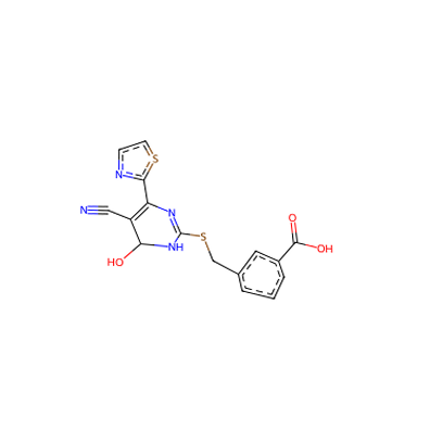 N#CC1=C(c2nccs2)N=C(SCc2cccc(C(=O)O)c2)NC1O